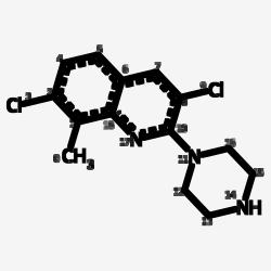 Cc1c(Cl)ccc2cc(Cl)c(N3CCNCC3)nc12